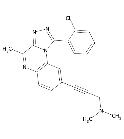 Cc1nc2ccc(C#CCN(C)C)cc2n2c(-c3ccccc3Cl)nnc12